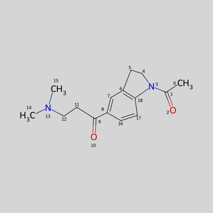 CC(=O)N1CCc2cc(C(=O)CCN(C)C)ccc21